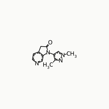 Cc1nn(C)cc1N1C(=O)Cc2ccncc21